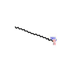 CCCCCCCCCCCCCCCCCCCCCC/C=C/C(N)CO